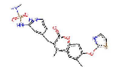 C=C(/C=C(\C=C/N)Cc1c(C)c2cc(C)c(Oc3nccs3)cc2oc1=O)NS(=O)(=O)NC